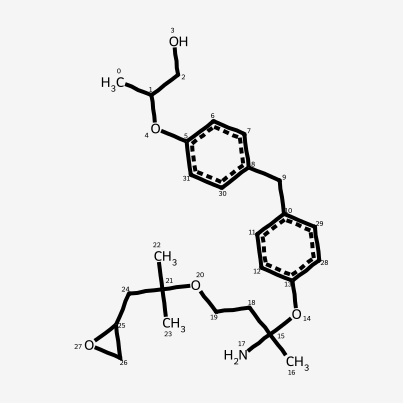 CC(CO)Oc1ccc(Cc2ccc(OC(C)(N)CCOC(C)(C)CC3CO3)cc2)cc1